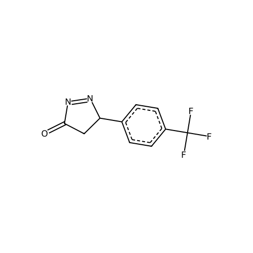 O=C1CC(c2ccc(C(F)(F)F)cc2)N=N1